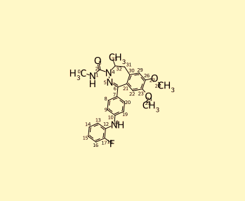 CNC(=O)N1N=C(c2ccc(Nc3ccccc3F)cc2)c2cc(OC)c(OC)cc2CC1C